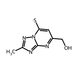 Cc1nc2nc(CO)cc([S])n2n1